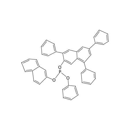 c1ccc(OP(Oc2ccc3ccccc3c2)Oc2cc3c(-c4ccccc4)cc(-c4ccccc4)cc3cc2-c2ccccc2)cc1